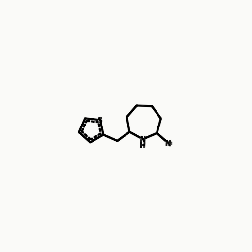 [N]C1CCCCC(Cc2cccs2)N1